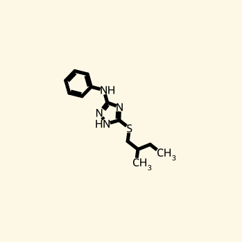 CCC(C)CSc1nc(Nc2ccccc2)n[nH]1